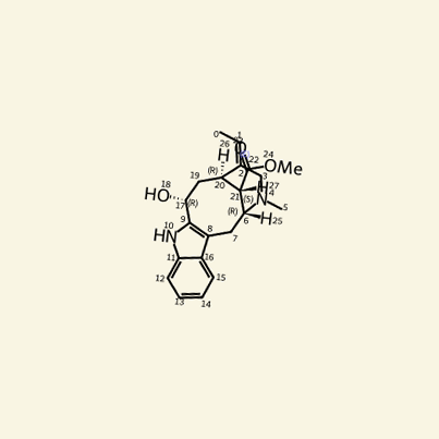 C/C=C1/CN(C)[C@@H]2Cc3c([nH]c4ccccc34)[C@H](O)C[C@@H]1[C@@H]2C(=O)OC